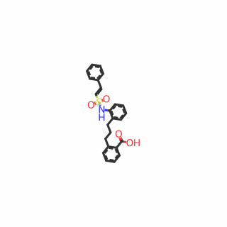 O=C(O)c1ccccc1CCCc1ccccc1NS(=O)(=O)C=Cc1ccccc1